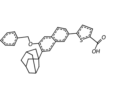 O=C(O)c1ccc(-c2ccc3cc(OCc4ccccc4)c(C45CC6CC(CC(C6)C4)C5)cc3c2)s1